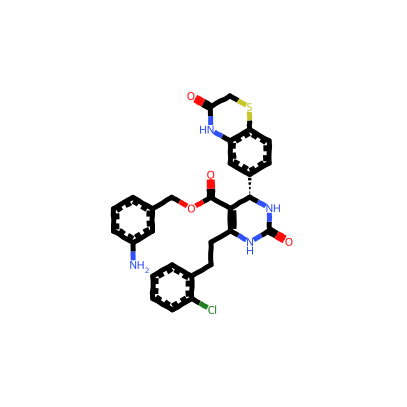 Nc1cccc(COC(=O)C2=C(CCc3ccccc3Cl)NC(=O)N[C@H]2c2ccc3c(c2)NC(=O)CS3)c1